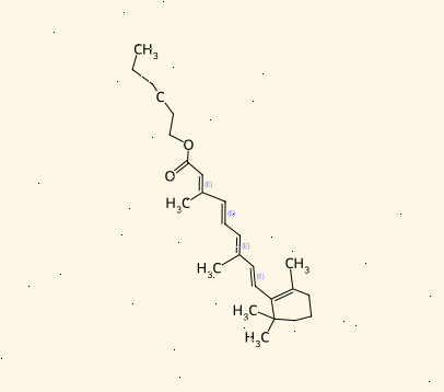 CCCCCCOC(=O)/C=C(C)/C=C/C=C(C)/C=C/C1=C(C)CCCC1(C)C